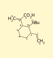 C=CC1CCCC(C(=C)C(=O)O)C1CCCC